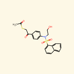 CC(=O)SCC(=O)c1ccc(N(CCO)S(=O)(=O)c2cccc3ccccc23)cc1